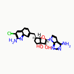 Nc1nc2cc(C[C@@H]3CC[C@@]4(O)[C@@H]3O[C@@H](n3ccc5c(N)ncnc53)[C@@H]4O)ccc2cc1Cl